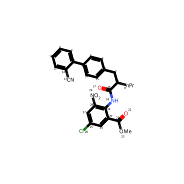 CCCC(Cc1ccc(-c2ccccc2C#N)cc1)C(=O)Nc1c(C(=O)OC)cc(Cl)cc1[N+](=O)[O-]